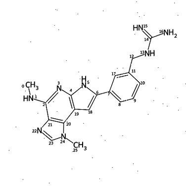 CNc1nc2[nH]c(-c3cccc(CNC(=N)N)c3)cc2c2c1ncn2C